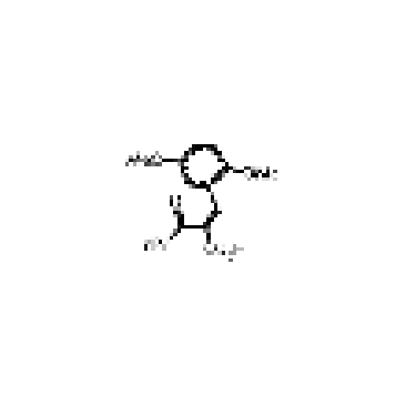 CCCC(=O)C(=Cc1cc(OC)ccc1OC)C(=O)O